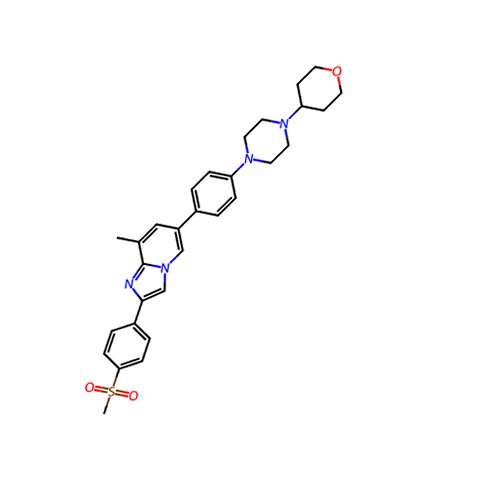 Cc1cc(-c2ccc(N3CCN(C4CCOCC4)CC3)cc2)cn2cc(-c3ccc(S(C)(=O)=O)cc3)nc12